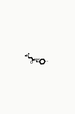 CN(C)CCC(=O)NC[C@H]1CC[C@H](C)CC1